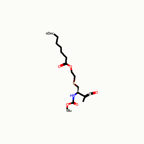 CCCCCCCCCCCCCCCC(=O)OCCSC[C@H](NC(=O)OC(C)(C)C)C(C)=C=O